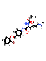 CN(C)CCCC[C@H](NC(=O)OC(C)(C)C)C(=O)Nc1ccc(COc2ccccc2Br)cc1